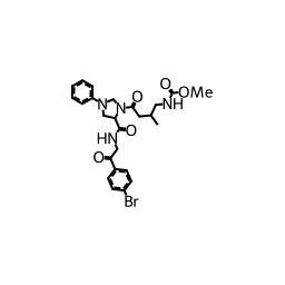 COC(=O)NCC(C)CC(=O)N1CN(c2ccccc2)CC1C(=O)NCC(=O)c1ccc(Br)cc1